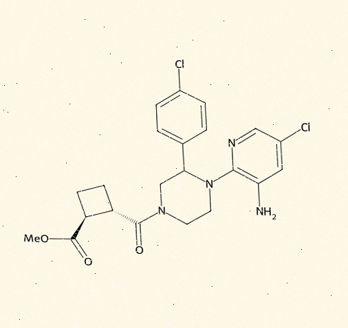 COC(=O)[C@H]1CC[C@@H]1C(=O)N1CCN(c2ncc(Cl)cc2N)C(c2ccc(Cl)cc2)C1